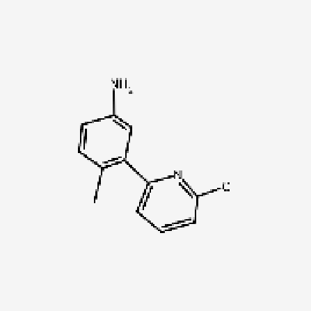 Cc1ccc(N)cc1-c1cccc(Cl)n1